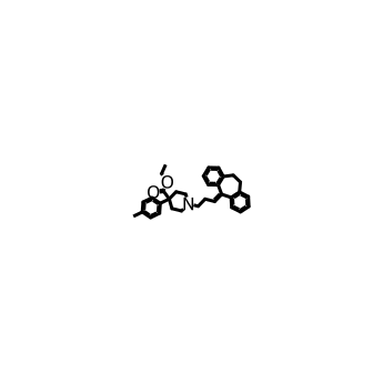 CCOC(=O)C1(c2ccc(C)cc2)CCN(CCC=C2c3ccccc3CCc3ccccc32)CC1